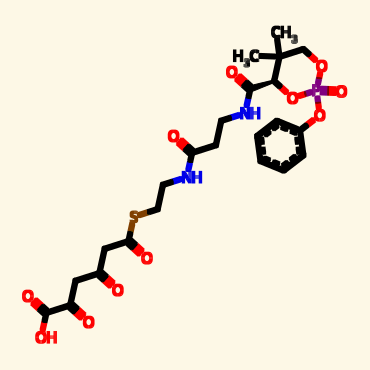 CC1(C)COP(=O)(Oc2ccccc2)O[C@H]1C(=O)NCCC(=O)NCCSC(=O)CC(=O)CC(=O)C(=O)O